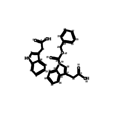 O=C(O)Cc1c[nH]c2ccccc12.O=C(O)Cc1cn(C(=O)OCc2ccccc2)c2ccccc12